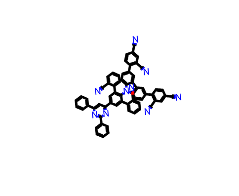 N#Cc1ccc(-c2ccc3c(c2)c2cc(-c4ccc(C#N)cc4C#N)ccc2n3-c2c(-c3ccccc3C#N)cc(-c3cc(-c4ccccc4)nc(-c4ccccc4)n3)cc2-c2ccccc2C#N)c(C#N)c1